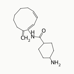 C=C1CCCCC/C=C\C=C/1NC(=O)C1CCC(N)CC1